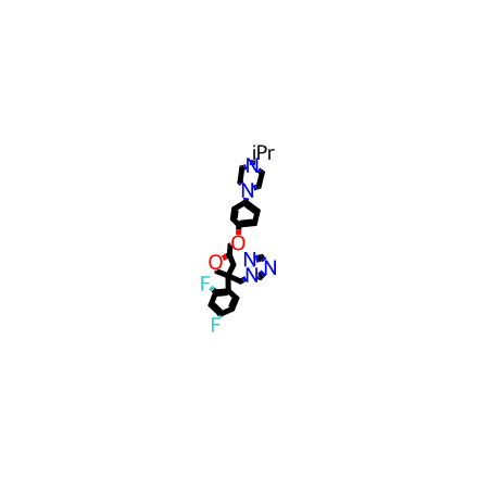 CC(C)N1CCN(c2ccc(OCC3CC(Cn4cncn4)(c4ccc(F)cc4F)CO3)cc2)CC1